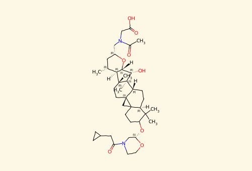 CC(=O)N(CC(=O)O)C[C@H]1C[C@@H](C)[C@H]2[C@H](O1)[C@H](O)[C@@]1(C)[C@@H]3CC[C@H]4C(C)(C)C(O[C@H]5CN(C(=O)CC6CC6)CCO5)CCC45C[C@@]35CC[C@]21C